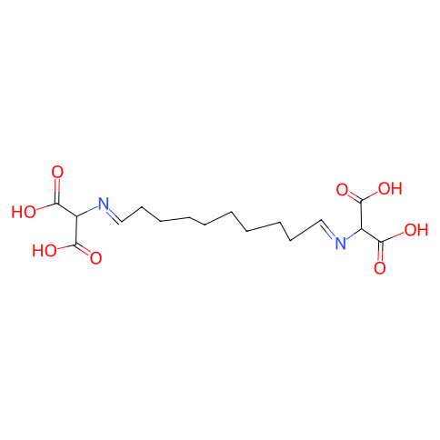 O=C(O)C(N=CCCCCCCCCC=NC(C(=O)O)C(=O)O)C(=O)O